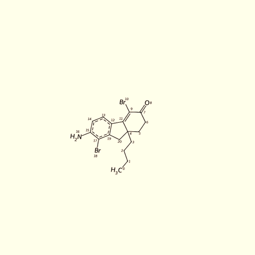 CCCCC12CCC(=O)C(Br)=C1c1ccc(N)c(Br)c1C2